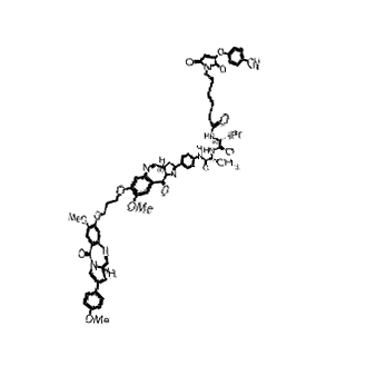 COc1ccc(C2=CN3C(=O)c4cc(OC)c(OCCCOc5cc6c(cc5OC)C(=O)C5N=C(c7ccc(NC(=O)[C@@H](C)NC(=O)[C@H](NC(=O)CCCCCN8C(=O)C=C(Oc9ccc(C#N)cc9)C8=O)C(C)C)cc7)C[C@H]5C=N6)cc4N=C[C@@H]3C2)cc1